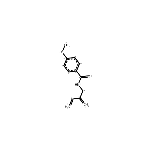 C=CC(=C)CNC(=O)c1ccc(OC)cc1